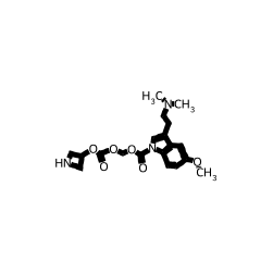 COc1ccc2c(c1)c(CCN(C)C)cn2C(=O)OCOC(=O)OC1CNC1